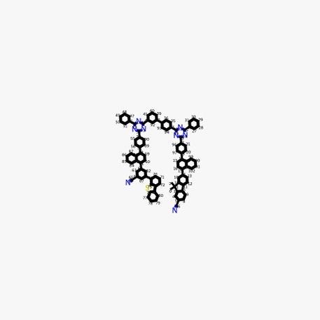 CC1(C)c2cc(C#N)ccc2-c2ccc(-c3ccc(-c4ccc(-c5nc(-c6ccccc6)nc(-c6ccc(-c7cccc(-c8nc(-c9ccccc9)nc(-c9ccc(-c%10ccc(-c%11cc(C#N)cc(-c%12cccc%13c%12sc%12ccccc%12%13)c%11)c%11ccccc%10%11)cc9)n8)c7)cc6)n5)cc4)c4ccccc34)cc21